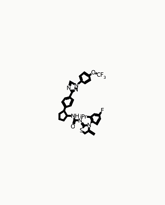 C=C1CS/C(=N\C(=O)NC2CCCC2c2ccc(-c3ncn(-c4ccc(OC(F)(F)F)cc4)n3)cc2)N1c1ccc(F)cc1C(C)C